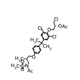 CC(=O)O[C@@H](CCl)COc1c(Cl)cc(C(C)(C)c2ccc(OC[C@H](C)CN(C(C)=O)S(C)(=O)=O)cc2)cc1Cl